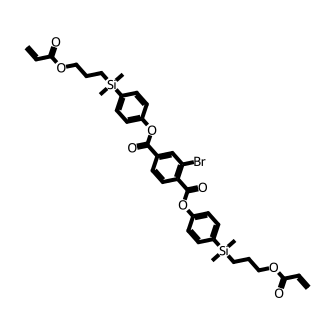 C=CC(=O)OCCC[Si](C)(C)c1ccc(OC(=O)c2ccc(C(=O)Oc3ccc([Si](C)(C)CCCOC(=O)C=C)cc3)c(Br)c2)cc1